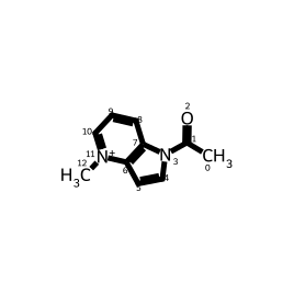 CC(=O)n1ccc2c1ccc[n+]2C